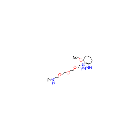 CC(=O)COC1CCCCCC2=C1N(CCOCCOCCOCCNC(C)C)NN2